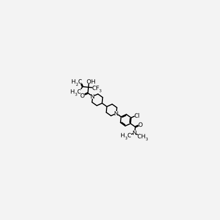 C=C(C)C(O)(C(=O)N1CCC(C2CCN(c3ccc(C(=O)N(C)C)c(Cl)c3)CC2)CC1)C(F)(F)F